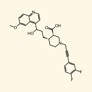 COc1ccc2nccc(C(O)CC[C@@H]3CCN(CC#Cc4ccc(F)c(F)c4)C[C@@H]3C(=O)O)c2c1